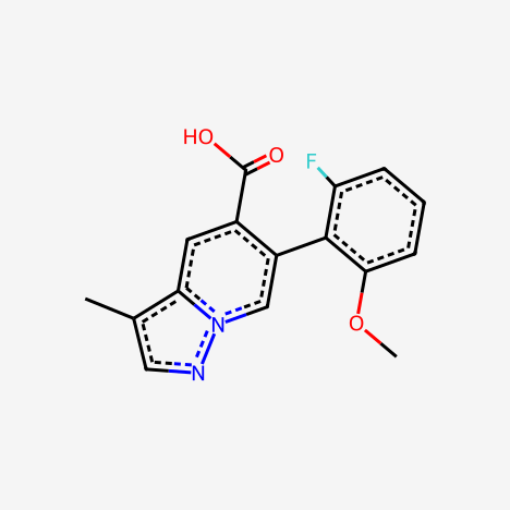 COc1cccc(F)c1-c1cn2ncc(C)c2cc1C(=O)O